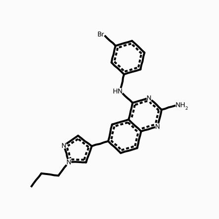 CCCn1cc(-c2ccc3nc(N)nc(Nc4cccc(Br)c4)c3c2)cn1